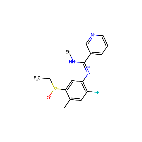 CCN/C(=N\c1cc([S+]([O-])CC(F)(F)F)c(C)cc1F)c1cccnc1